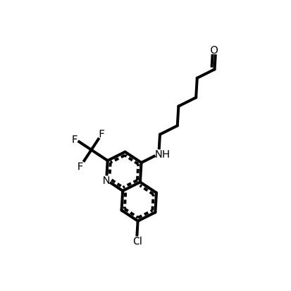 O=CCCCCCNc1cc(C(F)(F)F)nc2cc(Cl)ccc12